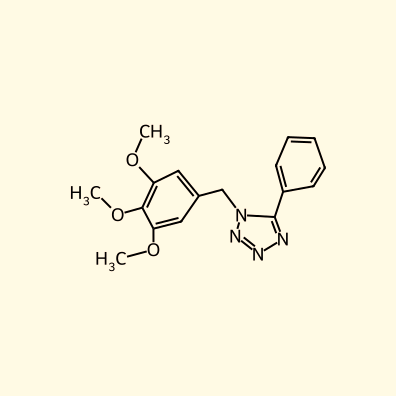 COc1cc(Cn2nnnc2-c2ccccc2)cc(OC)c1OC